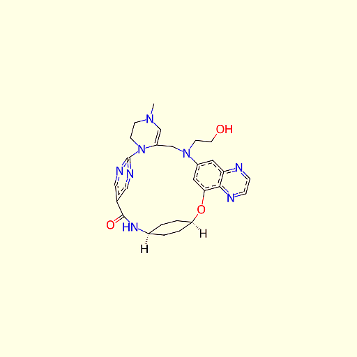 CN1C=C2CN(CCO)c3cc(c4nccnc4c3)O[C@H]3CC[C@H](CC3)NC(=O)c3cnc(nc3)N2CC1